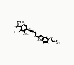 CCOCOc1ccc2oc(/C=C/C#Cc3cnc(N(C)C(=O)O)c([N+](=O)[O-])c3C(C)(C)C)cc2c1